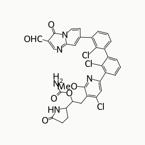 COc1nc(-c2cccc(-c3cccc(-c4ccn5c(=O)c(C=O)cnc5c4)c3Cl)c2Cl)cc(Cl)c1CC(OC(N)=O)C1CCC(=O)N1